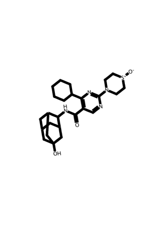 O=C(NC1C2CC3CC1CC(O)(C3)C2)c1cnc(N2CC[S+]([O-])CC2)nc1C1CCCCC1